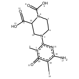 Cn1c(N2CCN(C(=O)O)C(C(=O)O)C2)nc(N)c(I)c1=O